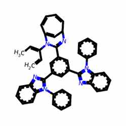 C=C/C(=C\C)N1C2=CC(C=CC=C2)N=C1c1cc(-c2nc3ccccc3n2-c2ccccc2)cc(-c2nc3ccccc3n2-c2ccccc2)c1